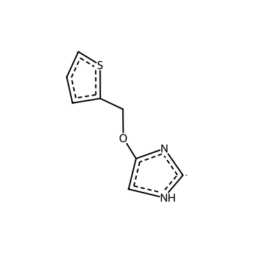 [c]1nc(OCc2cccs2)c[nH]1